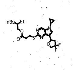 CCCCC(CC)COC(=O)CCSc1ncc2c(n1)c(C1CC(F)(F)CO1)cn2C1CC1